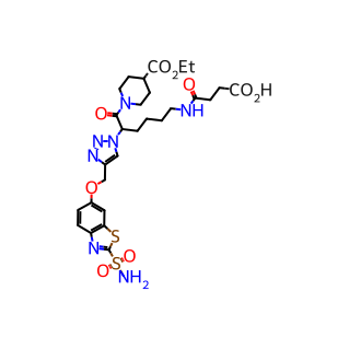 CCOC(=O)C1CCN(C(=O)C(CCCCNC(=O)CCC(=O)O)n2cc(COc3ccc4nc(S(N)(=O)=O)sc4c3)nn2)CC1